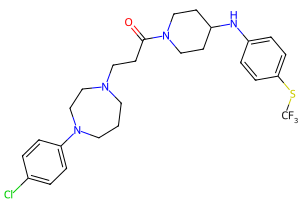 O=C(CCN1CCCN(c2ccc(Cl)cc2)CC1)N1CCC(Nc2ccc(SC(F)(F)F)cc2)CC1